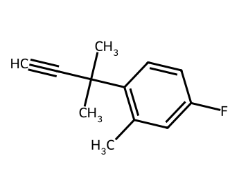 C#CC(C)(C)c1ccc(F)cc1C